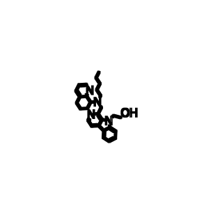 CCCCCN(Cc1nccc2c3ccccc3n(CCO)c12)C1CCCc2cccnc21